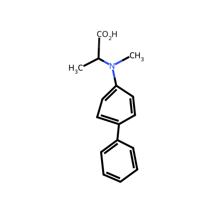 CC(C(=O)O)N(C)c1ccc(-c2ccccc2)cc1